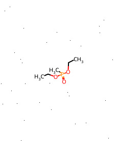 CCOP(C)(=O)OCC